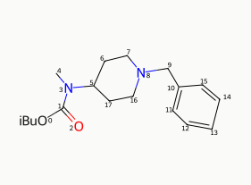 CC(C)COC(=O)N(C)C1CCN(Cc2ccccc2)CC1